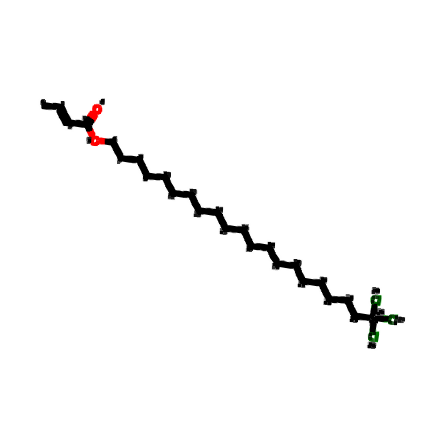 CC=CC(=O)OCCCCCCCCCCCCCCCCCCCC[Si](Cl)(Cl)Cl